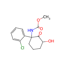 COC(=O)NC1(c2ccccc2Cl)CCCC(O)C1=O